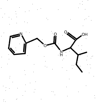 CCC(C)C(NC(=O)OCc1ccccn1)C(=O)O